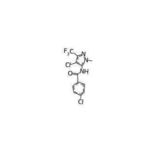 Cn1nc(C(F)(F)F)c(Cl)c1NC(=O)c1ccc(Cl)cc1